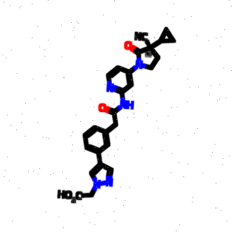 N#C[C@@]1(C2CC2)CCN(c2ccnc(NC(=O)Cc3cccc(-c4cnn(CC(=O)O)c4)c3)c2)C1=O